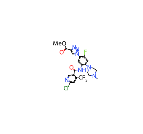 COC(=O)c1cn(-c2cc(NC(=O)c3cnc(Cl)cc3C(F)(F)F)c(N3CCN(C)CC3)cc2F)nn1